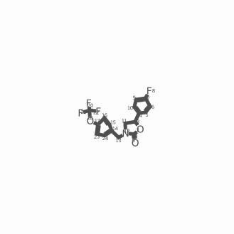 O=C1OC(c2ccc(F)cc2)CN1Cc1ccc(OC(F)(F)F)cc1